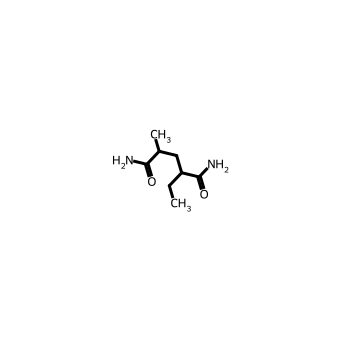 CCC(CC(C)C(N)=O)C(N)=O